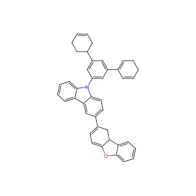 C1=CC(c2cc(C3CC=CCC3)cc(-n3c4ccccc4c4cc(C5=CC=C6Oc7ccccc7C6C5)ccc43)c2)=CCC1